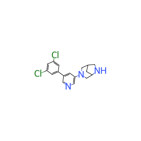 Clc1cc(Cl)cc(-c2cncc(N3CC4CNC(C4)C3)c2)c1